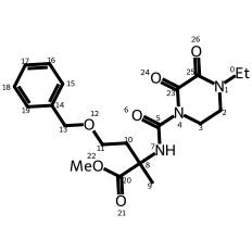 CCN1CCN(C(=O)NC(C)(CCOCc2ccccc2)C(=O)OC)C(=O)C1=O